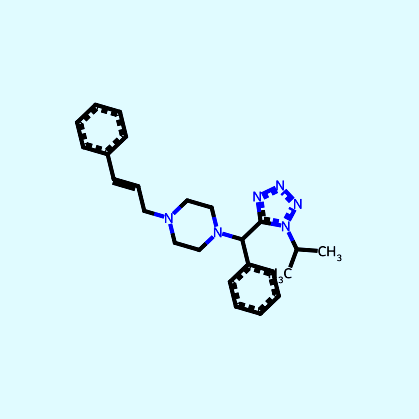 CC(C)n1nnnc1C(c1ccccc1)N1CCN(C/C=C/c2ccccc2)CC1